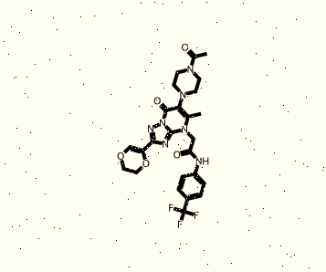 CC(=O)N1CCN(c2c(C)n(CC(=O)Nc3ccc(C(F)(F)F)cc3)c3nc(C4=COCCO4)nn3c2=O)CC1